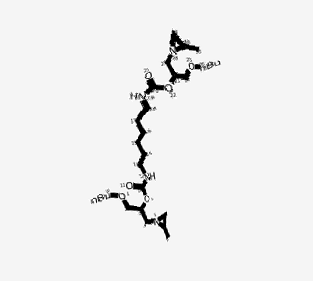 CCCCOCC(CN1CC1C)OC(=O)NCCCCCCNC(=O)OC(COCCCC)CN1CC1C